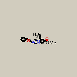 CC=Cc1cc(C(=O)OC)ccc1N1CCN(CCOCc2ccccc2)CC1